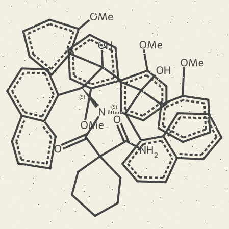 COc1ccccc1C(O)(c1ccccc1OC)[C@H](c1cccc2ccccc12)N(C(=O)C1(C(N)=O)CCCCC1)[C@@H](c1cccc2ccccc12)C(O)(c1ccccc1OC)c1ccccc1OC